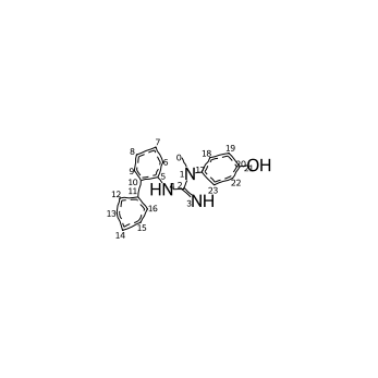 CN(C(=N)Nc1ccccc1-c1ccccc1)c1ccc(O)cc1